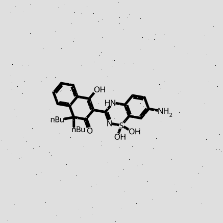 CCCCC1(CCCC)C(=O)C(C2=NS(O)(O)c3cc(N)ccc3N2)=C(O)c2ccccc21